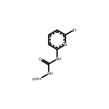 CCCCCCNC(=O)Nc1cccc(CC)n1